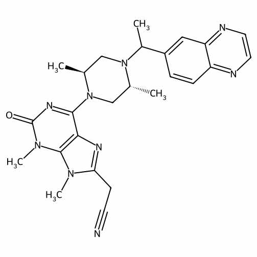 CC(c1ccc2nccnc2c1)N1C[C@H](C)N(c2nc(=O)n(C)c3c2nc(CC#N)n3C)C[C@H]1C